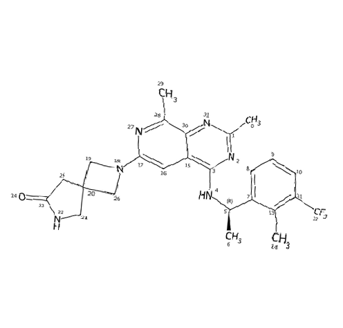 Cc1nc(N[C@H](C)c2cccc(C(F)(F)F)c2C)c2cc(N3CC4(CNC(=O)C4)C3)nc(C)c2n1